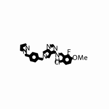 COc1ccc(Cl)c(CNc2ncnc3c2CN(Cc2ccc(Cn4cccn4)cc2)C3)c1F